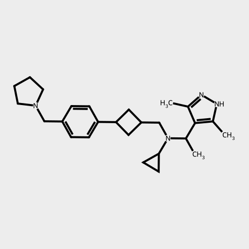 Cc1n[nH]c(C)c1C(C)N(CC1CC(c2ccc(CN3CCCC3)cc2)C1)C1CC1